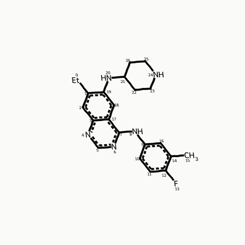 CCc1cc2ncnc(Nc3ccc(F)c(C)c3)c2cc1NC1CCNCC1